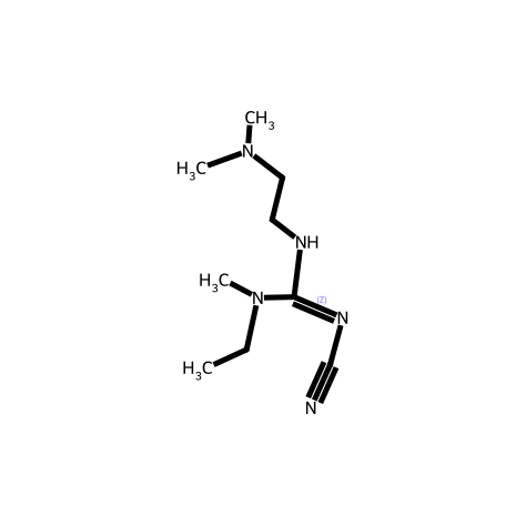 CCN(C)/C(=N\C#N)NCCN(C)C